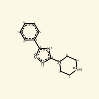 c1ccc(-c2nc(N3CCNCC3)no2)cc1